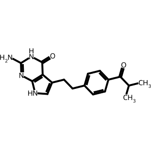 CC(C)C(=O)c1ccc(CCc2c[nH]c3nc(N)[nH]c(=O)c23)cc1